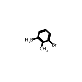 Bc1cccc(Br)c1C